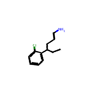 CCC(CCCN)c1ccccc1Cl